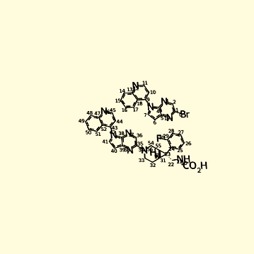 Brc1cnc2c(ccn2-c2ccnc3ccccc23)n1.O=C(O)NC[C@]1(c2ccccc2F)[C@@H]2CCN(c3cnc4c(ccn4-c4ccnc5ccccc45)n3)C[C@@H]21